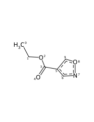 CCOC(=O)c1[c]noc1